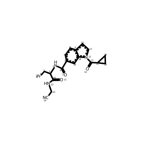 CC(C)CC(NC(=O)c1ccc2ccn(C(=O)C3CC3)c2c1)C(=O)NCC#N